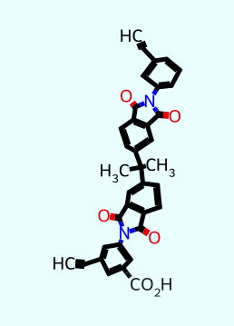 C#Cc1cccc(N2C(=O)c3ccc(C(C)(C)c4ccc5c(c4)C(=O)N(c4cc(C#C)cc(C(=O)O)c4)C5=O)cc3C2=O)c1